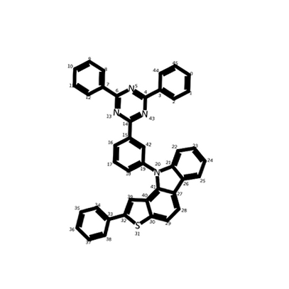 c1ccc(-c2nc(-c3ccccc3)nc(-c3cccc(-n4c5ccccc5c5ccc6sc(-c7ccccc7)cc6c54)c3)n2)cc1